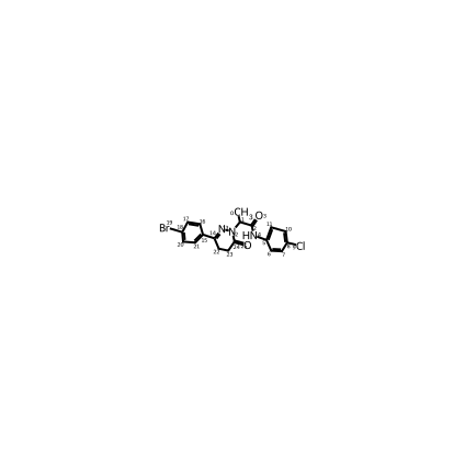 CC(C(=O)Nc1ccc(Cl)cc1)N1N=C(c2ccc(Br)cc2)CCC1=O